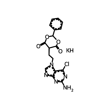 Nc1nc(Cl)c2c(ncn2CCC2C(=O)OC(c3ccccc3)OC2=O)n1.[KH]